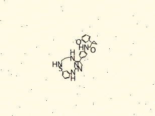 COc1cccc(C2(C(=O)Nc3ccc(-c4cnc5nc4NCCCNSc4cccc(c4)N5)cc3)CC2)c1